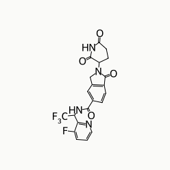 O=C1CCC(N2Cc3cc(C(=O)NC(c4ncccc4F)C(F)(F)F)ccc3C2=O)C(=O)N1